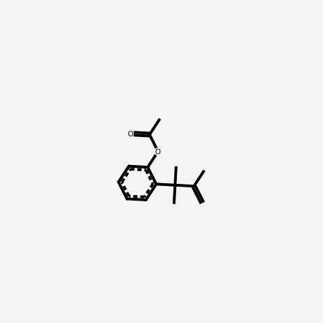 C=C(C)C(C)(C)c1ccccc1OC(C)=O